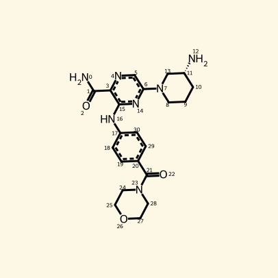 NC(=O)c1ncc(N2CCC[C@@H](N)C2)nc1Nc1ccc(C(=O)N2CCOCC2)cc1